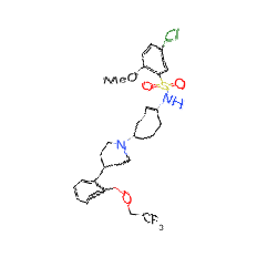 COc1ccc(Cl)cc1S(=O)(=O)N[C@H]1CC[C@@H](N2CCC(c3ccccc3OCC(F)(F)F)CC2)CC1